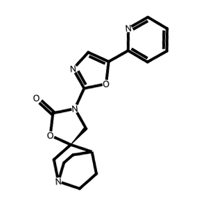 O=C1O[C@]2(CN3CCC2CC3)CN1c1ncc(-c2ccccn2)o1